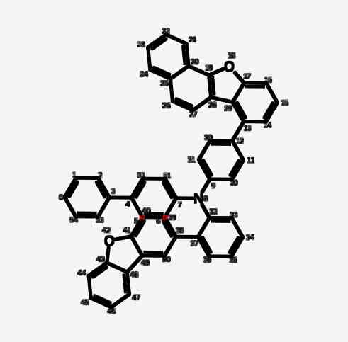 c1ccc(-c2ccc(N(c3ccc(-c4cccc5oc6c7ccccc7ccc6c45)cc3)c3ccccc3-c3ccc4oc5ccccc5c4c3)cc2)cc1